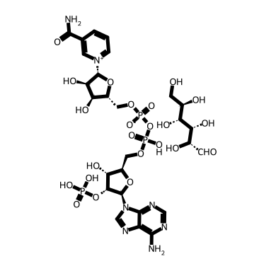 NC(=O)c1ccc[n+]([C@@H]2O[C@H](COP(=O)([O-])OP(=O)(O)OC[C@H]3O[C@@H](n4cnc5c(N)ncnc54)[C@H](OP(=O)(O)O)[C@@H]3O)[C@@H](O)[C@H]2O)c1.O=C[C@H](O)[C@@H](O)[C@H](O)[C@H](O)CO